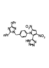 CCCc1nc(CCC)n(Cc2ccc(-n3c([N+](=O)[O-])cc([N+](=O)[O-])c3-c3nnn[nH]3)cc2)n1